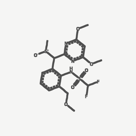 COCc1cccc(C(c2nc(OC)cc(OC)n2)[S+](C)[O-])c1NS(=O)(=O)C(F)F